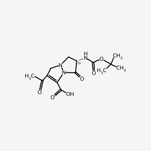 CC(=O)C1=C(C(=O)O)N2C(=O)[C@@H](NC(=O)OC(C)(C)C)CN2C1